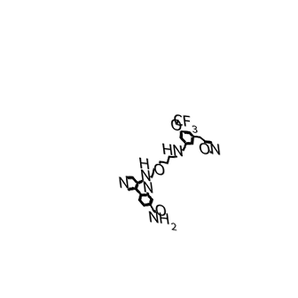 NC(=O)c1ccc2c(c1)nc(NCCOCCCCNCc1cc(Cc3cnco3)cc(OC(F)(F)F)c1)c1ccncc12